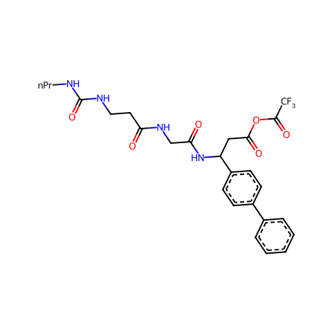 CCCNC(=O)NCCC(=O)NCC(=O)NC(CC(=O)OC(=O)C(F)(F)F)c1ccc(-c2ccccc2)cc1